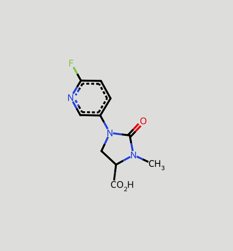 CN1C(=O)N(c2ccc(F)nc2)CC1C(=O)O